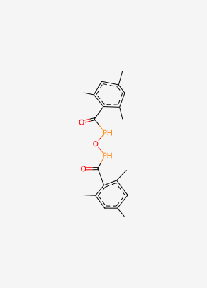 Cc1cc(C)c(C(=O)POPC(=O)c2c(C)cc(C)cc2C)c(C)c1